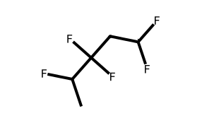 CC(F)C(F)(F)C[C](F)F